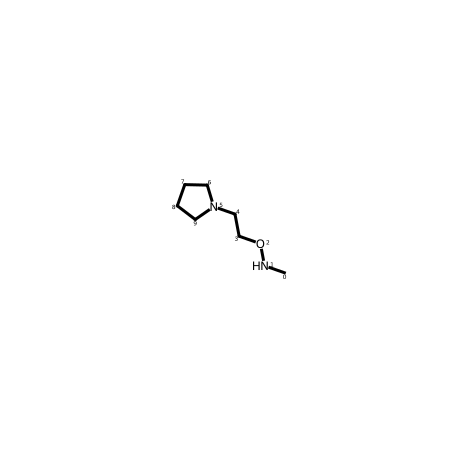 CNOCCN1CCCC1